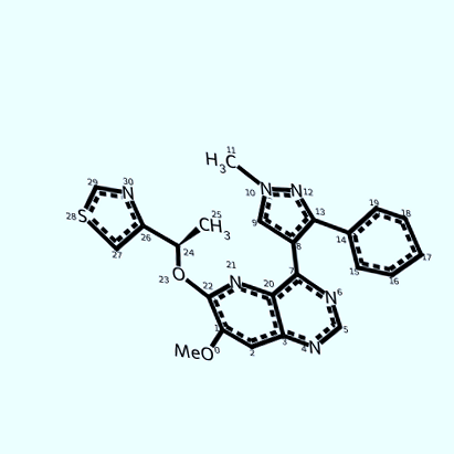 COc1cc2ncnc(-c3cn(C)nc3-c3ccccc3)c2nc1O[C@H](C)c1cscn1